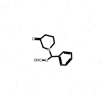 O=COC(c1ccccc1)N1CCCC(=O)C1